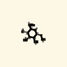 COC1O[C@H](CO)[C@@H](O)[C@H](O)[C@@H]1Cl